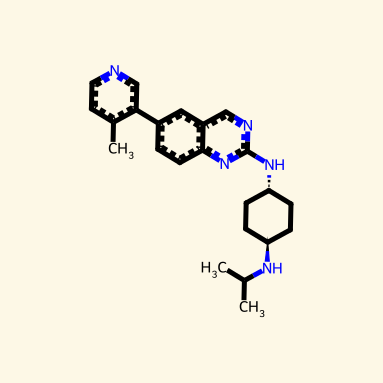 Cc1ccncc1-c1ccc2nc(N[C@H]3CC[C@H](NC(C)C)CC3)ncc2c1